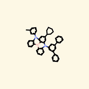 Cc1cccc(N2c3ccccc3B3c4ccccc4N(c4cc(-c5ccccc5)cc(-c5ccccc5)c4)c4cc(C5CCCCC5)cc2c43)c1